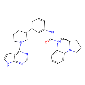 C[C@H]1CCCN1c1ccccc1NC(=O)Nc1cccc(C2CCCN(c3ncnc4[nH]ccc34)C2)c1